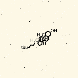 CC(C)(C)CCCC[C@H]1CC[C@H]2[C@@H]3CC=C4C[C@@H](O)CC[C@]4(C)[C@H]3CC[C@]12C